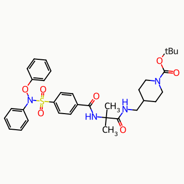 CC(C)(C)OC(=O)N1CCC(CNC(=O)C(C)(C)NC(=O)c2ccc(S(=O)(=O)N(Oc3ccccc3)c3ccccc3)cc2)CC1